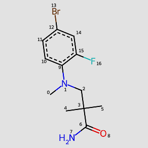 CN(CC(C)(C)C(N)=O)c1ccc(Br)cc1F